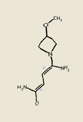 COC1CN(/C(N)=C/C=C(\N)Cl)C1